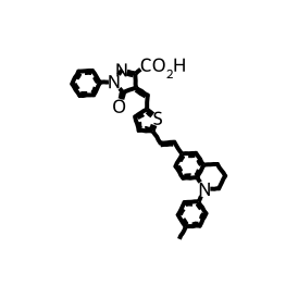 Cc1ccc(N2CCCc3cc(/C=C/c4ccc(/C=C5\C(=O)N(c6ccccc6)N=C5C(=O)O)s4)ccc32)cc1